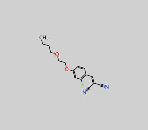 CCCCOCCOc1ccc(C=C(C#N)C#N)c(F)c1